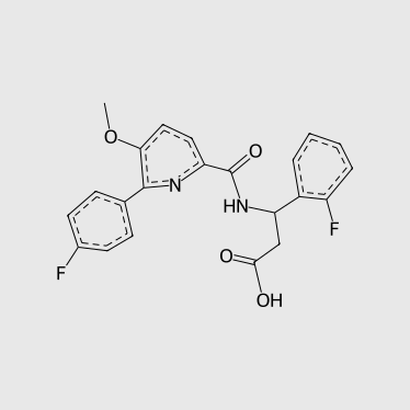 COc1ccc(C(=O)NC(CC(=O)O)c2ccccc2F)nc1-c1ccc(F)cc1